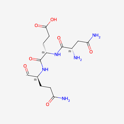 NC(=O)CC[C@@H]([C]=O)NC(=O)[C@H](CCC(=O)O)NC(=O)[C@@H](N)CC(N)=O